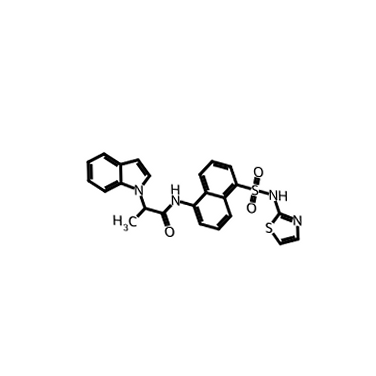 CC(C(=O)Nc1cccc2c(S(=O)(=O)Nc3nccs3)cccc12)n1ccc2ccccc21